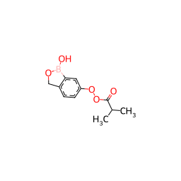 CC(C)C(=O)OOc1ccc2c(c1)B(O)OC2